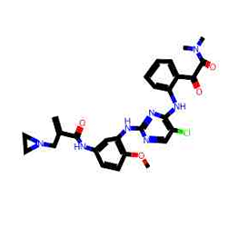 C=C(CN1CC1)C(=O)Nc1ccc(OC)c(Nc2ncc(Cl)c(Nc3ccccc3C(=O)C(=O)N(C)C)n2)c1